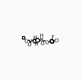 O=C(COc1ccc(Cl)c(F)c1)N[C@H]1C[C@@H]2CN(C(=O)COC3CCC3)C[C@@H]2C1